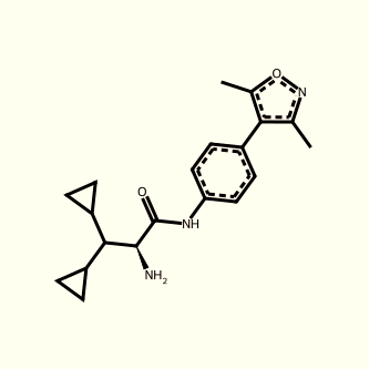 Cc1noc(C)c1-c1ccc(NC(=O)[C@@H](N)C(C2CC2)C2CC2)cc1